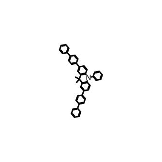 CC1(C)c2cc(-c3ccc(-c4ccccc4)cc3)ccc2N(c2ccccc2)c2ccc(-c3ccc(-c4ccccc4)cc3)cc21